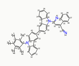 [2H]c1c([2H])c([2H])c(-n2c3ccccc3c3cc(-c4ccc5c(c4)c4ccccc4n5-c4cc(C#N)c5ccccc5n4)ccc32)c([2H])c1[2H]